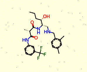 CCC[C@H](O)[C@H](CNCc1ccc(C)cc1C)NC(=O)[C@@H](C)C(=O)Nc1cccc(C(F)(F)F)c1